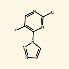 Fc1cnc(Cl)nc1-n1ccnn1